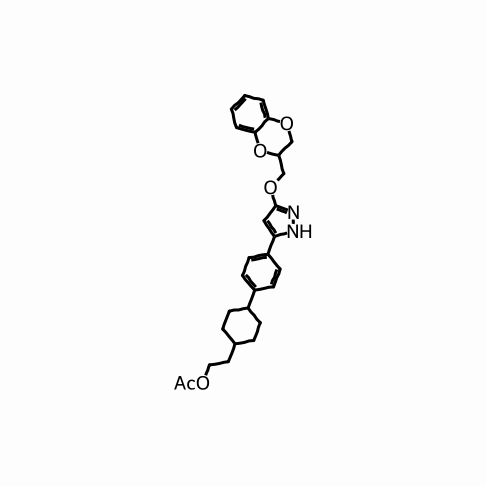 CC(=O)OCCC1CCC(c2ccc(-c3cc(OCC4COc5ccccc5O4)n[nH]3)cc2)CC1